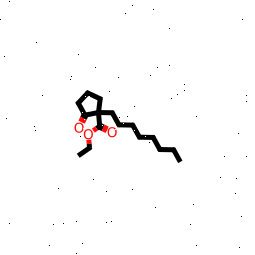 CCCCCCCCC1(C(=O)OCC)CCCC1=O